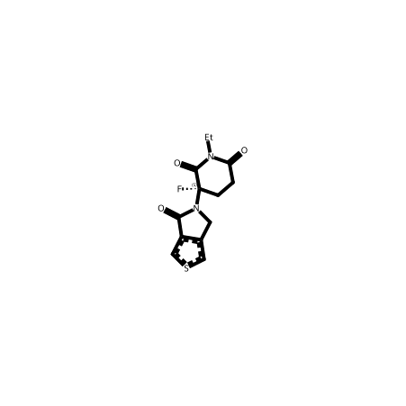 CCN1C(=O)CC[C@@](F)(N2Cc3cscc3C2=O)C1=O